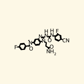 CN(C(=O)c1ccc(F)cc1)c1ccc2c(c1)nc(NC(=O)Nc1ccc(C#N)cc1F)n2CCC(N)=O